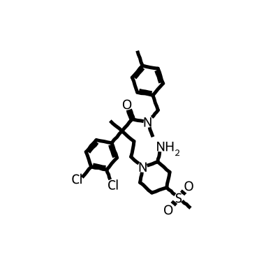 Cc1ccc(CN(C)C(=O)C(C)(CCN2CCC(S(C)(=O)=O)CC2N)c2ccc(Cl)c(Cl)c2)cc1